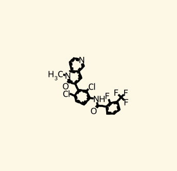 Cn1c(=O)c(-c2c(Cl)ccc(NC(=O)c3cccc(C(F)(F)F)c3F)c2Cl)cc2cnccc21